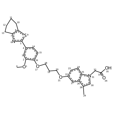 COc1cc(-c2nc3c(s2)CCCC3)ccc1OCCCOc1ccc2c(c1)c(C)cn2CC(=O)O